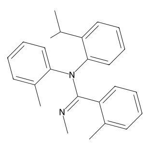 C/N=C(\c1ccccc1C)N(c1ccccc1C)c1ccccc1C(C)C